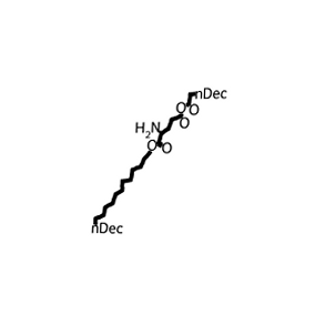 CCCCCCCCCCCCCCCCCCCCCCOC(=O)[C@@H](N)CCC(=O)OC(=O)CCCCCCCCCCC